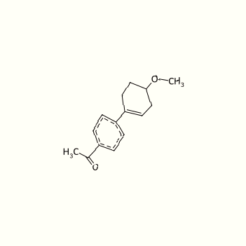 COC1CC=C(c2ccc(C(C)=O)cc2)CC1